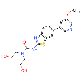 COc1cncc(-c2ccc3nc(NC(=O)N(CCO)CCO)sc3c2)c1